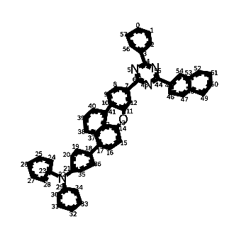 c1ccc(-c2nc(-c3ccc4c(c3)Oc3ccc(-c5ccc(N(c6ccccc6)c6ccccc6)cc5)c5cccc-4c35)nc(-c3ccc4ccccc4c3)n2)cc1